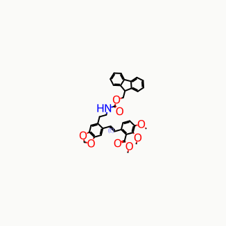 COC(=O)c1c(/C=C/c2cc3c(cc2CCNC(=O)OCC2c4ccccc4-c4ccccc42)OCO3)ccc(OC)c1OC